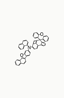 c1ccc2c(c1)Oc1ccccc1C21c2ccccc2-c2ccc(N(c3ccc4c(c3)oc3c5ccccc5ccc43)c3cccc4ccccc34)c3cccc1c23